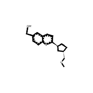 COC[C@H]1CC[C@H](c2ccc3cc(CO)ccc3n2)C1